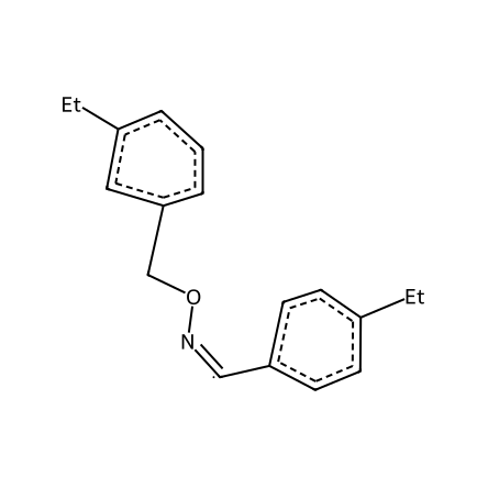 CCc1ccc(/[C]=N\OCc2cccc(CC)c2)cc1